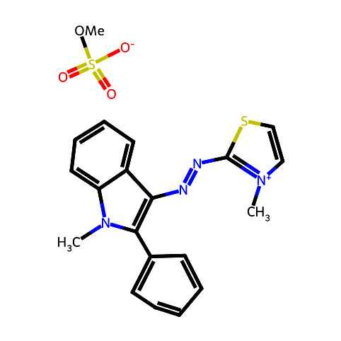 COS(=O)(=O)[O-].Cn1c(-c2ccccc2)c(N=Nc2scc[n+]2C)c2ccccc21